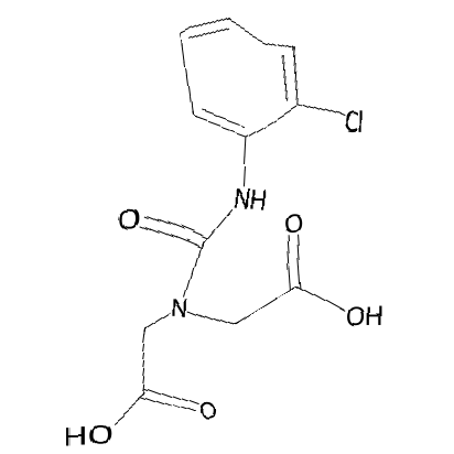 O=C(O)CN(CC(=O)O)C(=O)Nc1ccccc1Cl